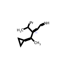 CC(=C1CC1)/C(=C/C=N)C(C)C(C)C